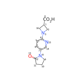 O=C(O)C1CN(c2ccc(N3CCCC3=O)cn2)C1